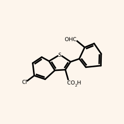 O=Cc1ccccc1-c1sc2ccc(Cl)cc2c1C(=O)O